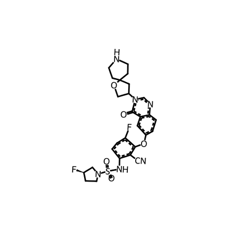 N#Cc1c(NS(=O)(=O)N2CC[C@@H](F)C2)ccc(F)c1Oc1ccc2ncn(C3COC4(CCNCC4)C3)c(=O)c2c1